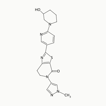 Cn1cc(N2CCc3nc(-c4ccc(N5CCCC(O)C5)nc4)sc3C2=O)cn1